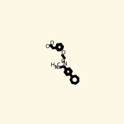 CC/C(=N\OCCOc1cccc(CC(=O)[O-])c1)c1ccc(C2CCCCCC2)cc1.[Na+]